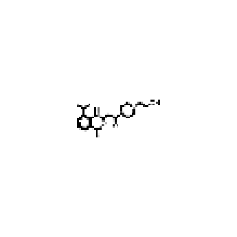 CC(C)c1cccc(C(C)C)c1NC(=O)CC(=O)N1CCN(CCO)CC1